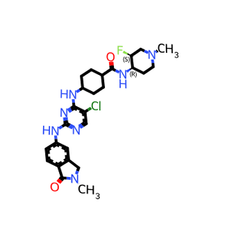 CN1CC[C@@H](NC(=O)C2CCC(Nc3nc(Nc4ccc5c(c4)CN(C)C5=O)ncc3Cl)CC2)[C@@H](F)C1